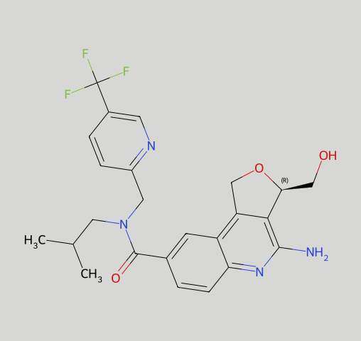 CC(C)CN(Cc1ccc(C(F)(F)F)cn1)C(=O)c1ccc2nc(N)c3c(c2c1)CO[C@H]3CO